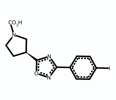 O=C(O)N1CC[C@H](c2nc(-c3ccc(I)cc3)no2)C1